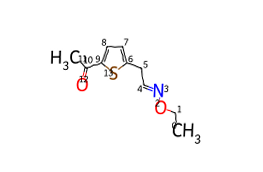 CCON=CCc1ccc(C(C)=O)s1